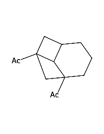 CC(=O)C12CCCC3CC(C(C)=O)(C1)C32